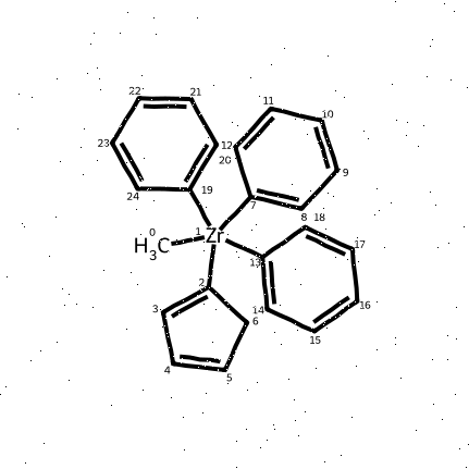 [CH3][Zr]([C]1=CC=CC1)([c]1ccccc1)([c]1ccccc1)[c]1ccccc1